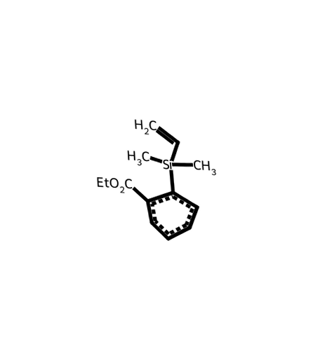 C=C[Si](C)(C)c1ccccc1C(=O)OCC